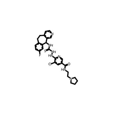 O=C(NCCN1CCCC1)c1cnc(NNC(=S)NC2c3cnccc3CCc3ccc(F)cc32)c(Cl)c1